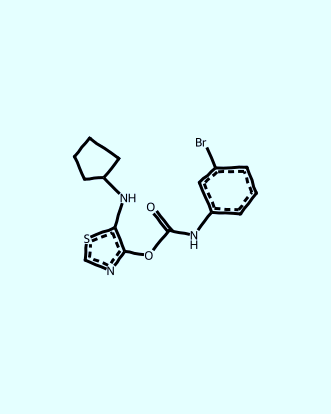 O=C(Nc1cccc(Br)c1)Oc1ncsc1NC1CCCC1